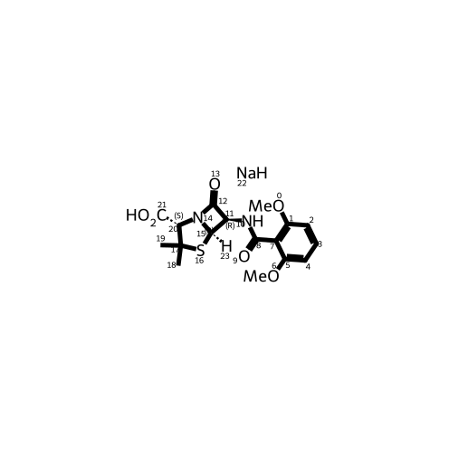 COc1cccc(OC)c1C(=O)N[C@@H]1C(=O)N2[C@@H]1SC(C)(C)[C@@H]2C(=O)O.[NaH]